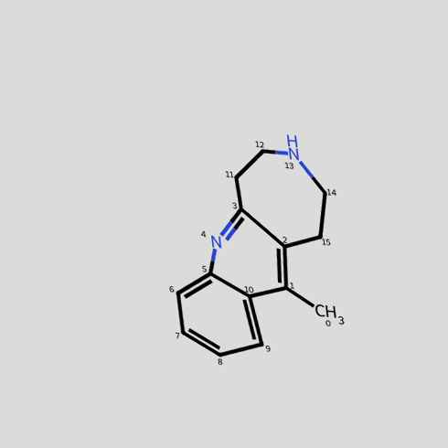 Cc1c2c(nc3ccccc13)CCNCC2